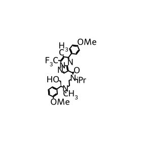 COc1ccc(-c2nc3c(C(=O)N(CCN(C)[C@H](CO)c4cccc(OC)c4)C(C)C)cnn3c(C(F)(F)F)c2C)cc1